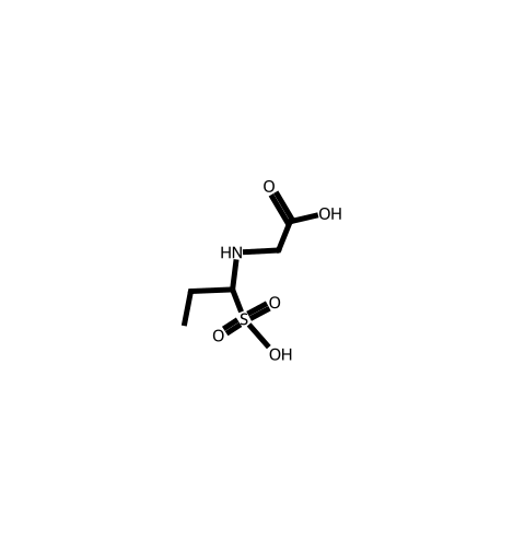 CCC(NCC(=O)O)S(=O)(=O)O